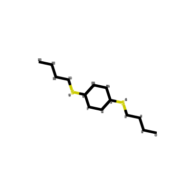 CCCCSC1[CH]CC(SCCCC)[CH]C1